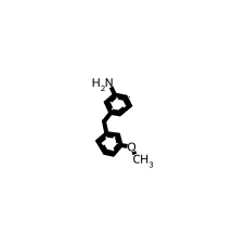 COc1cccc(Cc2cc[c]c(N)c2)c1